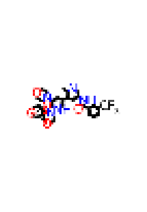 [2H]C1(OC2(N3CCOCC3)NC=C(c3cc(NC(=O)c4cccc(C(F)(F)F)c4)cnc3C)C=C2N2CCOCC2)CCOCC1